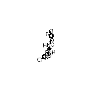 O=C(COc1ccc(Cl)c(F)c1)NC12CC(NS(=O)(=O)c3ccc(Cl)cn3)(C1)C2